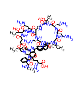 CNC(=O)c1ccccc1Sc1ccc2c(/C=C/c3ccccn3)nn(C(=O)N(CCNC(=O)CC[C@@H](N)C(=O)O)CC(C)(C)OC(=O)CCC(=O)N[C@H](C(=O)N[C@@H](CCN)C(=O)N[C@H]3CCNC(=O)[C@H]([C@@H](C)O)NC(=O)[C@H](CCN)NC(=O)[C@H](CCN)NC(=O)[C@H](CC(C)C)NC(=O)[C@@H](Cc4ccccc4)NC(=O)[C@H](CCN)NC3=O)[C@H](C)O)c2c1